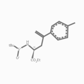 C=C(C[C@H](N[S+]([O-])C(C)(C)C)C(=O)OCC)c1ccc(C)cc1